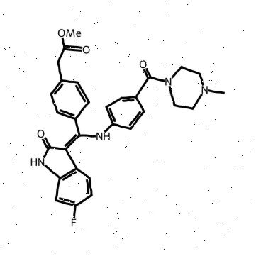 COC(=O)Cc1ccc(C(Nc2ccc(C(=O)N3CCN(C)CC3)cc2)=C2C(=O)Nc3cc(F)ccc32)cc1